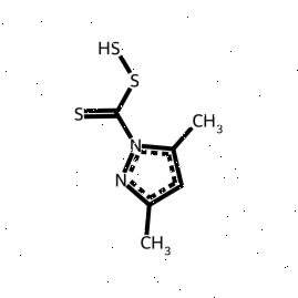 Cc1cc(C)n(C(=S)SS)n1